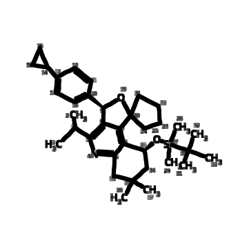 CC(C)c1nc2c(c3c1[C@@H](c1ccc(C4CC4)cc1)OC31CCCC1)[C@@H](O[Si](C)(C)C(C)(C)C)CC(C)(C)C2